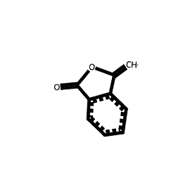 [CH]=C1OC(=O)c2ccccc21